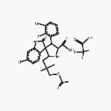 CC(=O)OCC(C)(C)CC1NC(C(=O)O)C(c2cccc(Cl)c2F)C12C(=O)Nc1cc(Cl)ccc12.O=C(O)C(F)(F)F